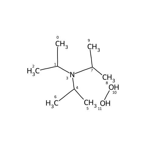 CC(C)N(C(C)C)C(C)C.OO